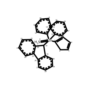 [SiH2]=[Zn]([C]1=CC=CC1)([c]1ccccc1)([c]1ccccc1)[CH]1c2ccccc2-c2ccccc21